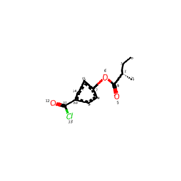 CC[C@H](C)C(=O)Oc1ccc(C(=O)Cl)cc1